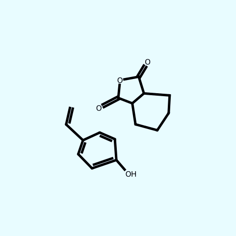 C=Cc1ccc(O)cc1.O=C1OC(=O)C2CCCCC12